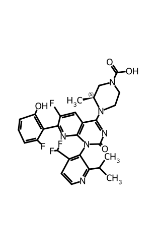 CC(C)c1nccc(C(F)F)c1-n1c(=O)nc(N2CCN(C(=O)O)C[C@@H]2C)c2cc(F)c(-c3c(O)cccc3F)nc21